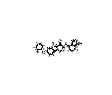 Cn1c2nc(Oc3ccccc3F)ccc2c2cnn(Cc3cccc4[nH]ncc34)c(=O)c21